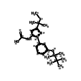 CSC(C)(C)c1cc(NC(=O)O)n(-c2cccc(O[Si](C)(C)C(C)(C)C)c2)n1